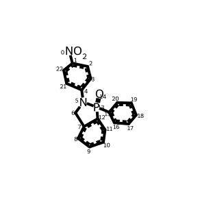 O=[N+]([O-])c1ccc(N2Cc3ccccc3P2(=O)c2ccccc2)cc1